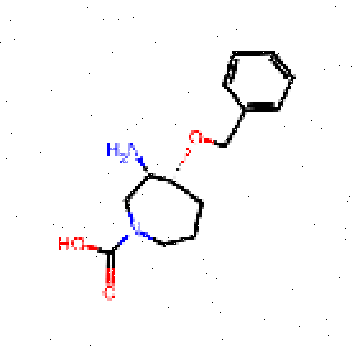 N[C@@H]1CN(C(=O)O)CCC[C@H]1OCc1ccccc1